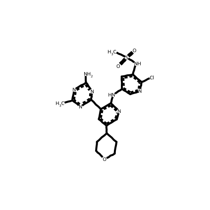 Cc1nc(N)nc(-c2cc(C3CCOCC3)cnc2Nc2cnc(Cl)c(NS(C)(=O)=O)c2)n1